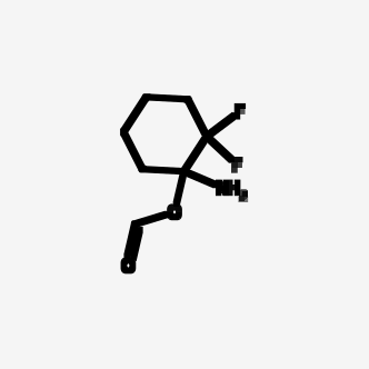 NC1(OC=O)CCCCC1(F)F